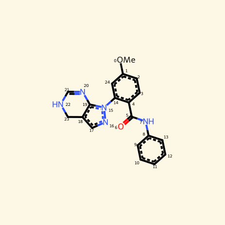 COc1ccc(C(=O)Nc2ccccc2)c(-n2ncc3c2N=CNC3)c1